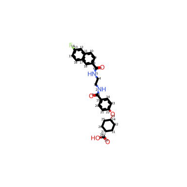 O=C(NCCNC(=O)c1ccc2cc(F)ccc2c1)c1ccc(O[C@H]2CC[C@@H](C(=O)O)CC2)cc1